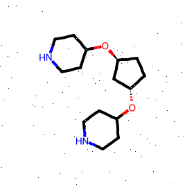 C1CC(O[C@H]2CC[C@H](OC3CCNCC3)C2)CCN1